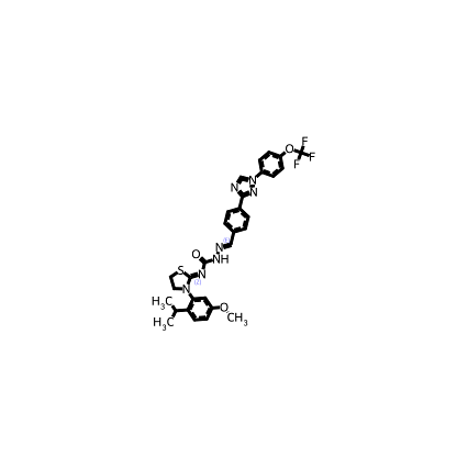 COc1ccc(C(C)C)c(N2CCS/C2=N\C(=O)N/N=C/c2ccc(-c3ncn(-c4ccc(OC(F)(F)F)cc4)n3)cc2)c1